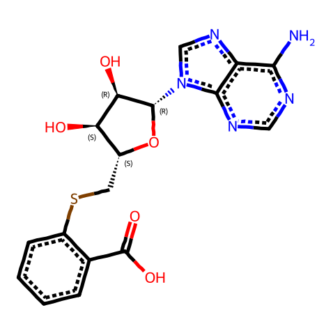 Nc1ncnc2c1ncn2[C@@H]1O[C@H](CSc2ccccc2C(=O)O)[C@@H](O)[C@H]1O